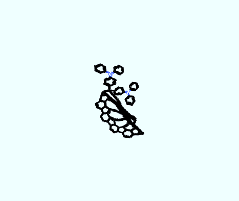 C1=CC2C3C4=C5C6=C7C3C1C1C=CC3C8CCC9c%10c8c(c6c6c%10C8C9C=CC9C8C(=C56)C56C9C58C(c5ccc(N(c9ccccc9)c9ccccc9)cc5)(c5ccc(N(c9ccccc9)c9ccccc9)cc5)C85C2C465)C3C71